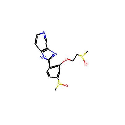 C[S+]([O-])CCOc1cc([S+](C)[O-])ccc1-c1nc2cnccc2[nH]1